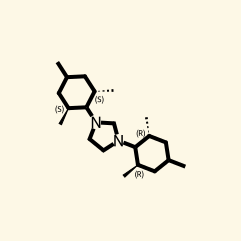 CC1C[C@@H](C)C(N2CCN(C3[C@@H](C)CC(C)C[C@@H]3C)C2)[C@H](C)C1